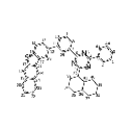 c1ccc(-c2nc(-c3cccc(-c4ccc5sc6cc7ccccc7cc6c5c4)c3)nc(C3CCCC4CCCCC43)n2)cc1